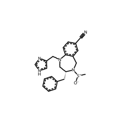 C[S+]([O-])N1Cc2cc(C#N)ccc2N(Cc2c[nH]cn2)C[C@H]1Cc1ccccc1